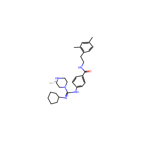 Cc1ccc(CCNC(=O)c2ccc(N/C(=N/C3CCCCC3)N3CCN[C@@H](C)C3)cc2)c(C)c1